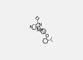 CC(C)c1ccccc1Oc1ccc(C2=NC(C3=CC=C3)=C3C=NC=C[N+]23N)cc1